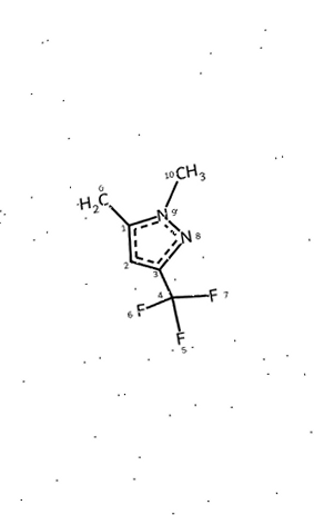 [CH2]c1cc(C(F)(F)F)nn1C